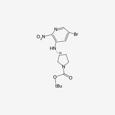 CC(C)(C)OC(=O)N1CC[C@@H](Nc2cc(Br)cnc2[N+](=O)[O-])C1